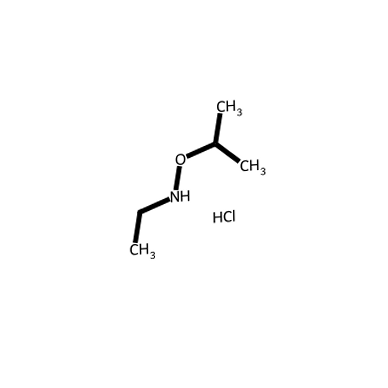 CCNOC(C)C.Cl